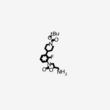 CC(C)(C)OC(=O)N1CCC(c2cccc(N3CC(CN)OC3=O)c2F)CC1